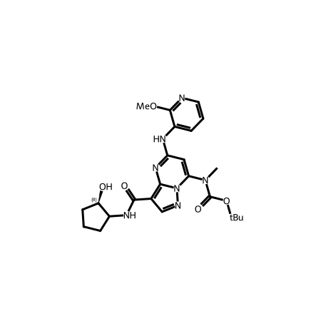 COc1ncccc1Nc1cc(N(C)C(=O)OC(C)(C)C)n2ncc(C(=O)NC3CCC[C@H]3O)c2n1